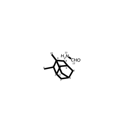 CC1C2CC3CC(C2)CC1(C)C3.NC=O